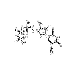 C#Cc1cn([C@@H]2O[C@H](COP(=O)(O)OP(=O)(O)OP(=O)(O)O)[C@@H](O)[C@H]2F)c(=O)[nH]c1=O